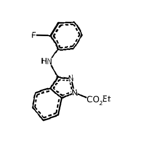 CCOC(=O)n1nc(Nc2ccccc2F)c2ccccc21